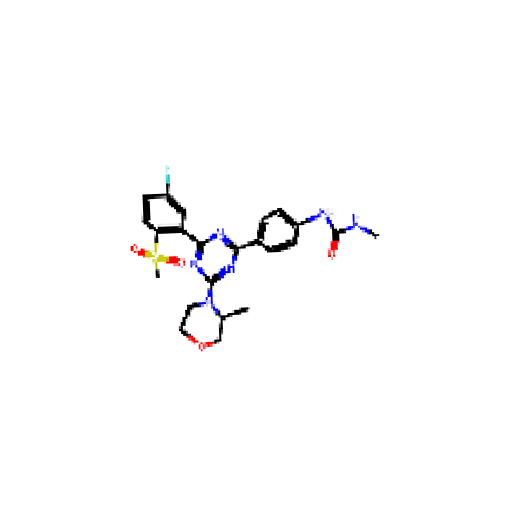 CNC(=O)Nc1ccc(-c2nc(-c3cc(F)ccc3S(C)(=O)=O)nc(N3CCOCC3C)n2)cc1